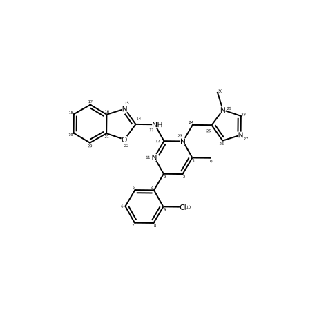 CC1=CC(c2ccccc2Cl)N=C(Nc2nc3ccccc3o2)N1Cc1cncn1C